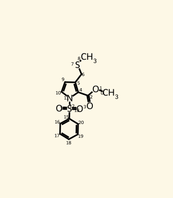 COC(=O)c1c(CSC)ccn1S(=O)(=O)c1ccccc1